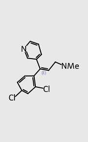 CNC/C=C(\c1cccnc1)c1ccc(Cl)cc1Cl